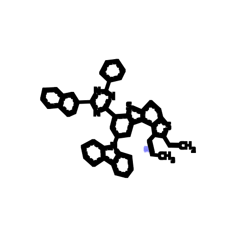 C=Cc1sc2ccc3sc4c(-c5nc(-c6ccccc6)nc(-c6ccc7ccccc7c6)n5)cc(-n5c6ccccc6c6ccccc65)cc4c3c2c1/C=C\C